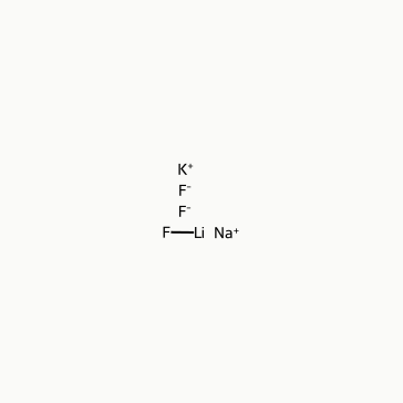 [F-].[F-].[K+].[Li][F].[Na+]